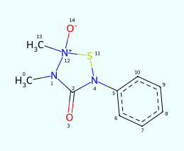 CN1C(=O)N(c2ccccc2)S[N+]1(C)[O-]